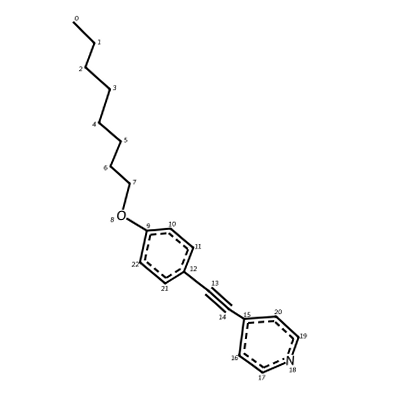 CCCCCCCCOc1ccc(C#Cc2ccncc2)cc1